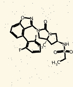 CCS(=O)(=O)N[C@@H]1CN2C(=O)N(c3noc4cccc(-c5c(F)cccc5F)c34)C[C@]2(C)C1